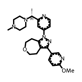 COc1ccc(-c2nn(-c3ccnc([C@@H](C)N4CCN(C)CC4)c3)c3c2CCOCC3)cn1